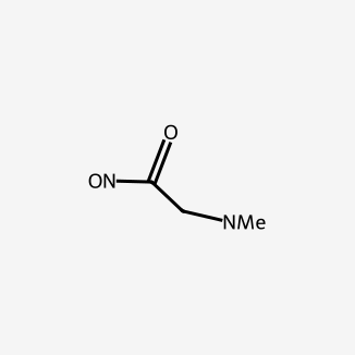 CNCC(=O)N=O